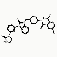 O=C(NC1CCC(Cn2c(=O)n(-c3cccc(N4CCNC4=O)n3)c3ccccc32)CC1)c1cc(Cl)cnc1C(F)F